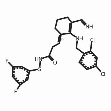 N=CC1=C(NCc2ccc(Cl)cc2Cl)/C(=C/CC(=O)NSc2cc(F)cc(F)c2)CCC1